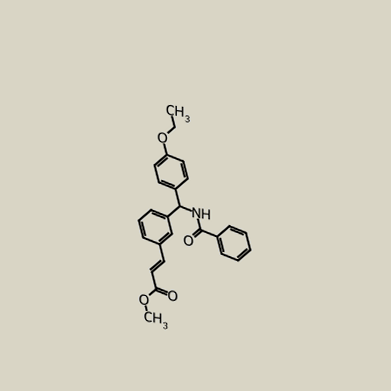 CCOc1ccc(C(NC(=O)c2ccccc2)c2cccc(/C=C/C(=O)OC)c2)cc1